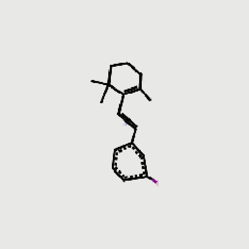 CC1=C(/C=C/c2cccc(I)c2)C(C)(C)CCC1